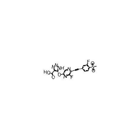 CS(=O)(=O)c1ccc(C#Cc2ncc(Oc3[nH]nnc3C(=O)O)nc2F)cc1F